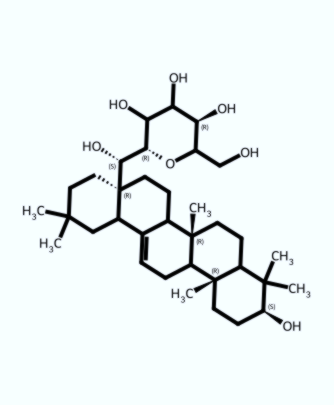 CC1(C)CC[C@]2([C@H](O)[C@H]3OC(CO)[C@H](O)C(O)C3O)CCC3C(=CCC4[C@@]3(C)CCC3C(C)(C)[C@@H](O)CC[C@@]34C)C2C1